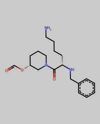 NCCCC[C@H](NCc1ccccc1)C(=O)N1CCC[C@@H](OC=O)C1